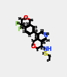 CCSNC1COCc2c(-c3ccc4c(c3)COCC4(F)F)cncc21